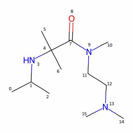 CC(C)NC(C)(C)C(=O)N(C)CCN(C)C